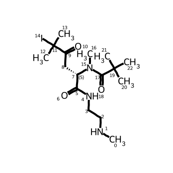 CNCCNC(=O)[C@H](CC(=O)C(C)(C)I)N(C)C(=O)C(C)(C)C